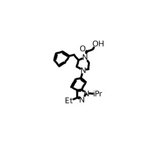 CCc1nn(C(C)C)c2cc(N3CCN(C(=O)CO)C(Cc4ccccc4)C3)ccc12